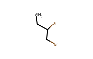 [AlH2][CH2]C(Br)CBr